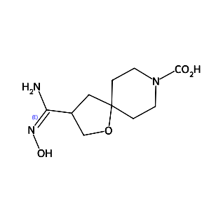 N/C(=N/O)C1COC2(CCN(C(=O)O)CC2)C1